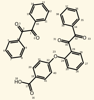 O=C(C(=O)c1ccccc1)c1ccccc1.O=C(O)c1ccc(Oc2ccccc2C(=O)C(=O)c2ccccc2)cc1